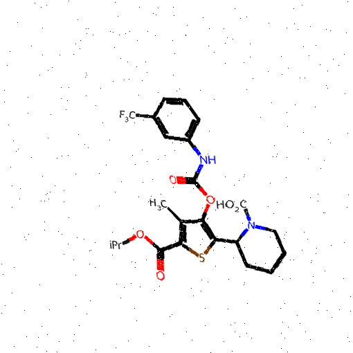 Cc1c(C(=O)OC(C)C)sc(C2CCCCN2C(=O)O)c1OC(=O)Nc1cccc(C(F)(F)F)c1